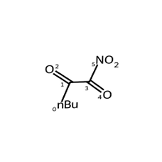 CCCCC(=O)C(=O)[N+](=O)[O-]